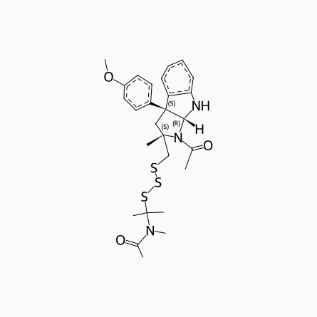 COc1ccc([C@]23C[C@@](C)(CSSSC(C)(C)N(C)C(C)=O)N(C(C)=O)[C@H]2Nc2ccccc23)cc1